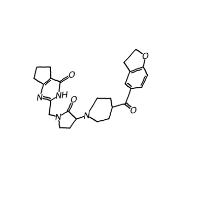 O=C(c1ccc2c(c1)CCO2)C1CCN(C2CCN(Cc3nc4c(c(=O)[nH]3)CCC4)C2=O)CC1